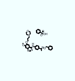 COc1cc2ncnc(Nc3ccc(/C(C)=N/OCc4ccccc4)cc3)c2cc1OCCCN1CCOCC1.O=S(=O)(O)c1ccccc1